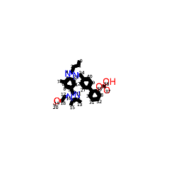 CCCc1nc2c(C)cc(-c3nc(C)c(C)n3CCOC)cc2n1Cc1ccc(-c2ccccc2OC(=O)O)cc1